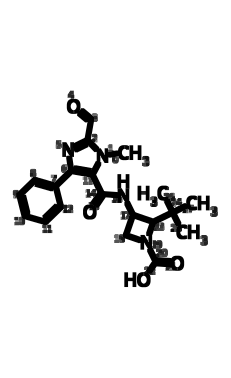 Cn1c(C=O)nc(-c2ccccc2)c1C(=O)NC1CN(C(=O)O)C1C(C)(C)C